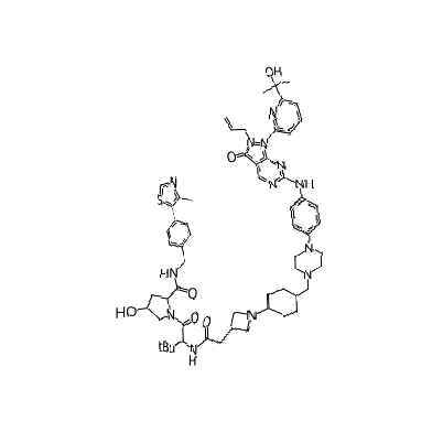 C=CCn1c(=O)c2cnc(Nc3ccc(N4CCN(CC5CCC(N6CC(CC(=O)N[C@H](C(=O)N7CC(O)CC7C(=O)NCc7ccc(-c8scnc8C)cc7)C(C)(C)C)C6)CC5)CC4)cc3)nc2n1-c1cccc(C(C)(C)O)n1